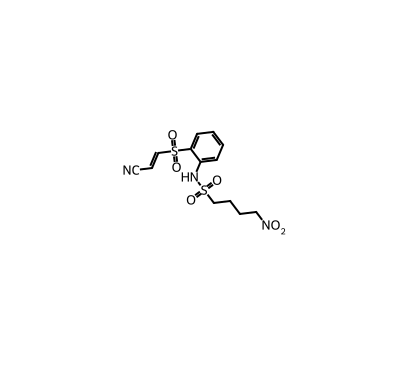 N#CC=CS(=O)(=O)c1ccccc1NS(=O)(=O)CCCC[N+](=O)[O-]